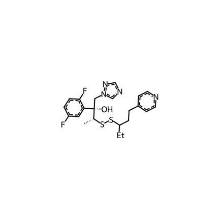 CCC(CCc1ccncc1)SS[C@H](C)[C@](O)(Cn1cncn1)c1cc(F)ccc1F